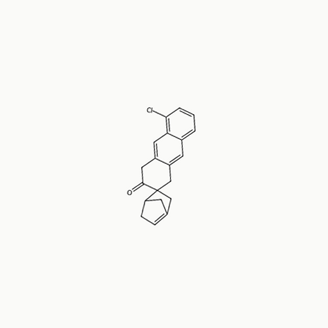 O=C1Cc2cc3c(Cl)cccc3cc2CC12CC1=CCC2C1